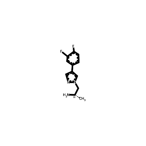 C[C@H](N)Cn1cc(-c2ccc(F)c(F)c2)cn1